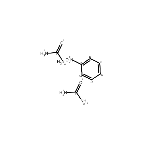 NC(N)=O.NC(N)=O.O=[N+]([O-])c1ccccc1